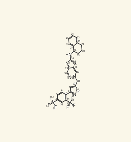 FC(F)(F)c1ccc(-c2cc(Cn3cc4nc(NC5CCCc6ccccc65)nc-4cn3)on2)c(C(F)(F)F)c1